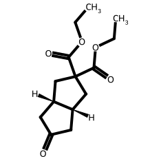 CCOC(=O)C1(C(=O)OCC)C[C@H]2CC(=O)C[C@H]2C1